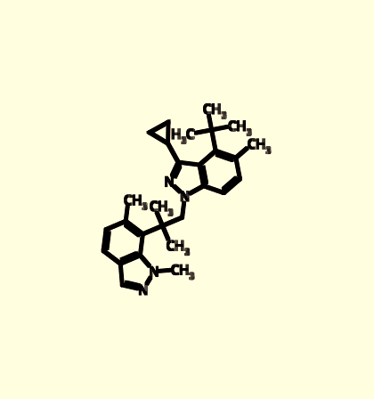 Cc1ccc2c(c(C3CC3)nn2CC(C)(C)c2c(C)ccc3cnn(C)c23)c1C(C)(C)C